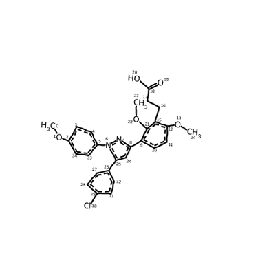 COc1ccc(-n2nc(-c3ccc(OC)c(CCC(=O)O)c3OC)cc2-c2ccc(Cl)cc2)cc1